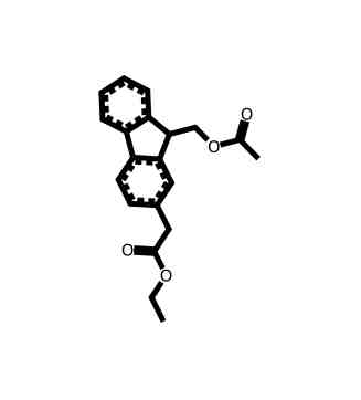 CCOC(=O)Cc1ccc2c(c1)C(COC(C)=O)c1ccccc1-2